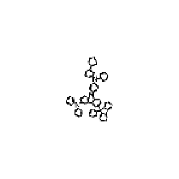 c1ccc(-c2cccc(N(c3ccccc3)c3ccc(-n4c5ccc(N(c6ccccc6)c6ccccc6)cc5c5cc(C6(c7ccccc7)c7ccccc7-c7ccccc76)ccc54)cc3)c2)cc1